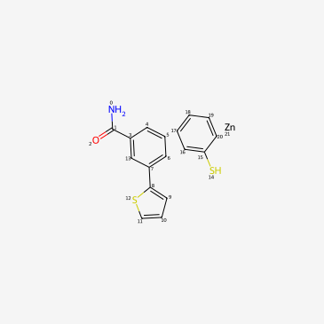 NC(=O)c1cccc(-c2cccs2)c1.Sc1ccccc1.[Zn]